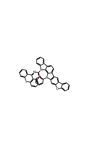 c1ccc(-n2c3cc4oc5ccccc5c4cc3c3ccc4c5ccccc5n(-c5nc6c7c(cccc7n5)Sc5ccccc5-6)c4c32)cc1